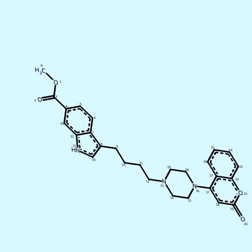 COC(=O)c1ccc2c(CCCCN3CCN(c4cc(=O)oc5ccccc45)CC3)c[nH]c2c1